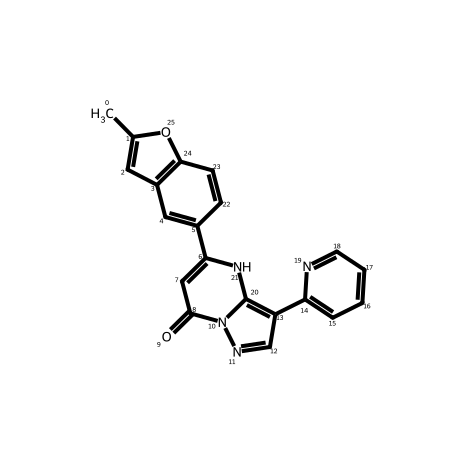 Cc1cc2cc(-c3cc(=O)n4ncc(-c5ccccn5)c4[nH]3)ccc2o1